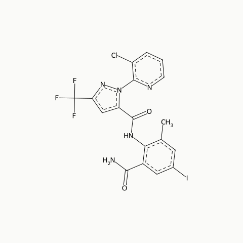 Cc1cc(I)cc(C(N)=O)c1NC(=O)c1cc(C(F)(F)F)nn1-c1ncccc1Cl